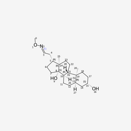 CO/N=C/C[C@H]1CC[C@]2(O)[C@@H]3CC[C@@H]4C[C@@H](O)CC[C@]4(C)[C@H]3CC[C@]12C